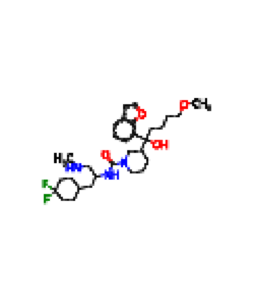 CNCC(CC1CCC(F)(F)CC1)NC(=O)N1CCCC(C(O)(CCCCOC)c2cccc3ccoc23)C1